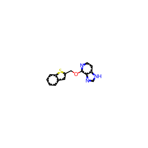 c1ccc2sc(COc3nccc4[nH]cnc34)cc2c1